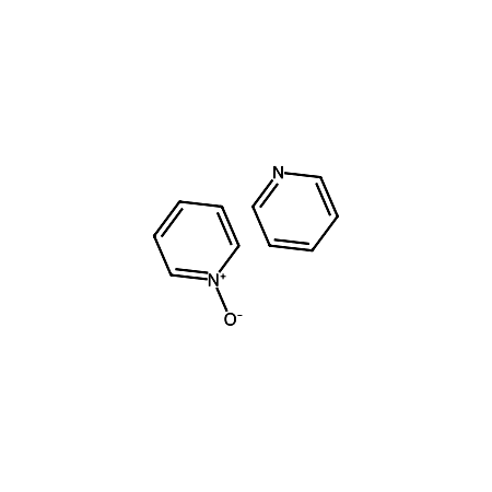 [O-][n+]1ccccc1.c1ccncc1